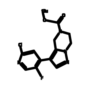 CC(C)(C)OC(=O)N1CCn2ncc(-c3cc(Cl)ncc3F)c2C1